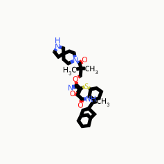 CC(NC(=O)c1onc(OCC(C)(C)C(=O)N2CCC3(CCNC3)CC2)c1SC1CCCCC1)C1CC2CCCC(C2)C1